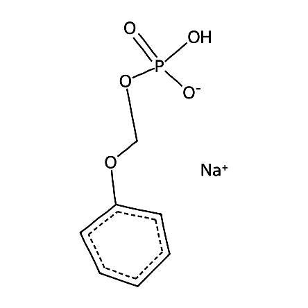 O=P([O-])(O)OCOc1ccccc1.[Na+]